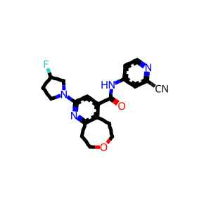 N#Cc1cc(NC(=O)c2cc(N3CCC(F)C3)nc3c2CCOCC3)ccn1